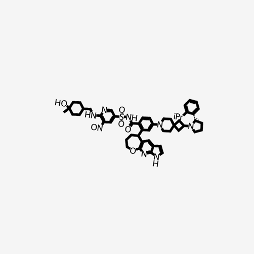 CC(C)c1ccccc1[C@@H]1CCCN1C1CC2(CCN(c3ccc(C(=O)NS(=O)(=O)c4cnc(NCC5CCC(C)(O)CC5)c(N=O)c4)c(C4CCCOc5nc6[nH]ccc6cc54)c3)CC2)C1